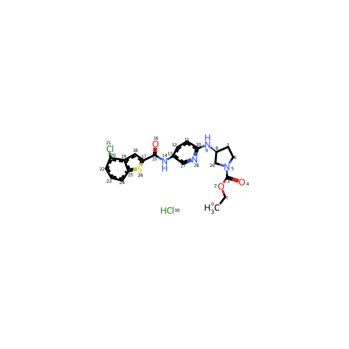 CCOC(=O)N1CC[C@H](Nc2ccc(NC(=O)c3cc4c(Cl)cccc4s3)cn2)C1.Cl